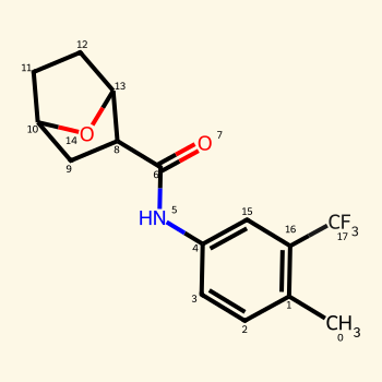 Cc1ccc(NC(=O)C2CC3CCC2O3)cc1C(F)(F)F